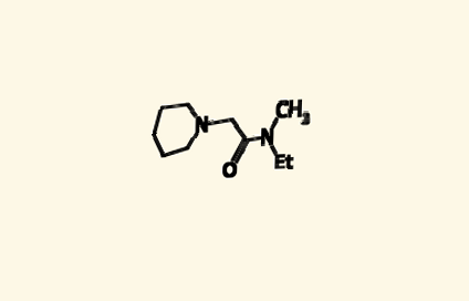 CCN(C)C(=O)CN1CCCCC1